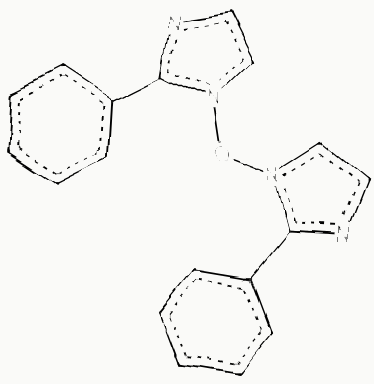 c1ccc(-c2nccn2On2ccnc2-c2ccccc2)cc1